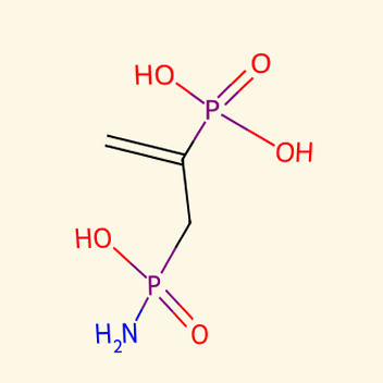 C=C(CP(N)(=O)O)P(=O)(O)O